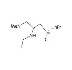 CCC[C@H](Cl)CC(CNC)NCI